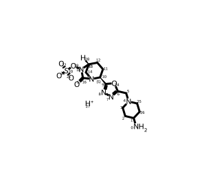 NC1CCN(Cc2nnc([C@@H]3CC[C@@H]4CN3C(=O)N4OS(=O)(=O)[O-])o2)CC1.[H+]